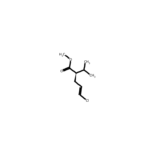 COC(=O)[C@H](CC=CCl)C(C)C